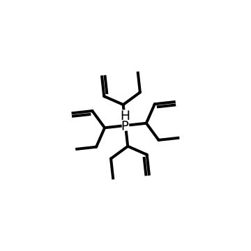 C=CC(CC)[PH](C(C=C)CC)(C(C=C)CC)C(C=C)CC